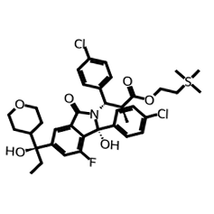 CC[C@@](O)(c1cc(F)c2c(c1)C(=O)N([C@H](c1ccc(Cl)cc1)[C@H](C)C(=O)OCCS(C)(C)C)[C@@]2(O)c1ccc(Cl)cc1)C1CCOCC1